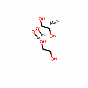 CC(=O)[O-].CC(=O)[O-].OCCO.OCCO.[Mn+2]